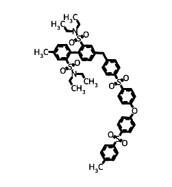 CCN(CC)S(=O)(=O)c1cc(C)ccc1-c1ccc(Cc2ccc(S(=O)(=O)c3ccc(Oc4ccc(S(=O)(=O)c5ccc(C)cc5)cc4)cc3)cc2)cc1S(=O)(=O)N(CC)CC